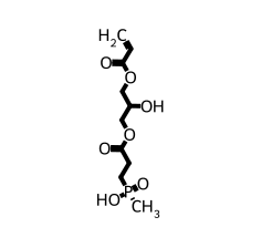 C=CC(=O)OCC(O)COC(=O)CCP(C)(=O)O